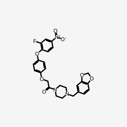 O=C(COc1ccc(Oc2ccc([N+](=O)[O-])cc2F)cc1)N1CCN(Cc2ccc3c(c2)OCO3)CC1